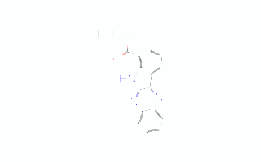 COC(=O)c1cccc2c1[nH]c1nc3ccccc3nc12